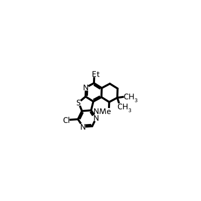 CCc1nc2sc3c(Cl)ncnc3c2c2c1CCC(C)(C)C2NC